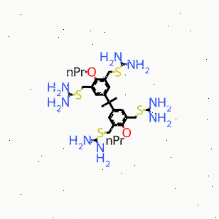 CCCOc1c(CSC(N)N)cc(C(C)(C)c2cc(CSC(N)N)c(OCCC)c(CSC(N)N)c2)cc1CSC(N)N